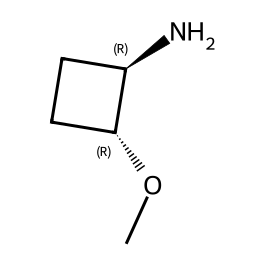 CO[C@@H]1CC[C@H]1N